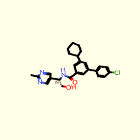 Cc1ncc([C@@H](CO)NC(=O)c2cc(-c3ccc(Cl)cc3)cc(C3CCCCC3)c2)cn1